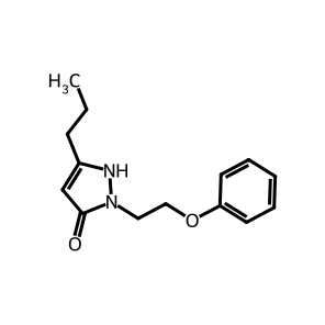 CCCc1cc(=O)n(CCOc2ccccc2)[nH]1